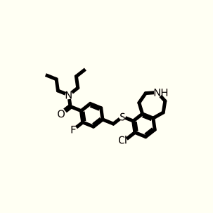 CCCN(CCC)C(=O)c1ccc(CSc2c(Cl)ccc3c2CCNCC3)cc1F